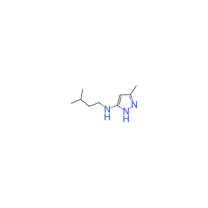 Cc1cc(NCCC(C)C)[nH]n1